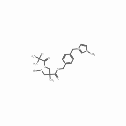 CCC(C)(C)C(=O)OCC(C)(COC(C)(C)C)C(=O)OCc1ccc(C[n+]2ccn(C)c2)cc1